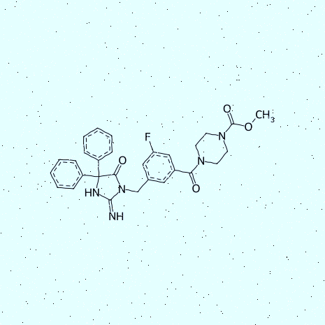 COC(=O)N1CCN(C(=O)c2cc(F)cc(CN3C(=N)NC(c4ccccc4)(c4ccccc4)C3=O)c2)CC1